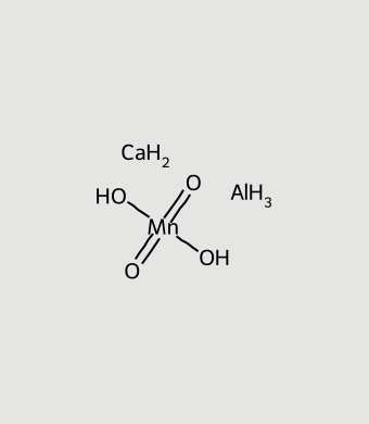 [AlH3].[CaH2].[O]=[Mn](=[O])([OH])[OH]